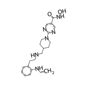 C=CNc1ccccc1CCNCC1CCN(c2ncc(C(=O)NO)cn2)CC1